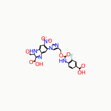 O=CC1Nc2cc([N+](=O)[O-])c(-n3cnc(COC(=O)Nc4ccc(C(=O)O)cc4F)c3)cc2N=C1C(=O)O